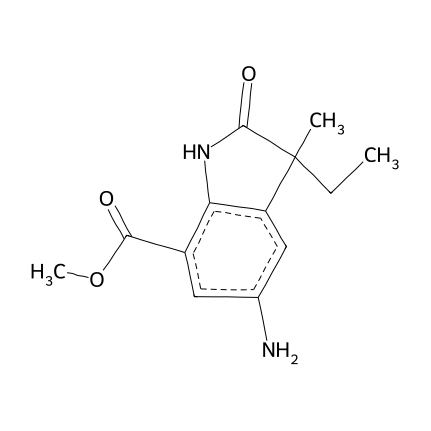 CCC1(C)C(=O)Nc2c(C(=O)OC)cc(N)cc21